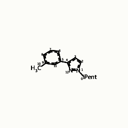 CCCC(C)n1ccc(-c2cccc(C)c2)n1